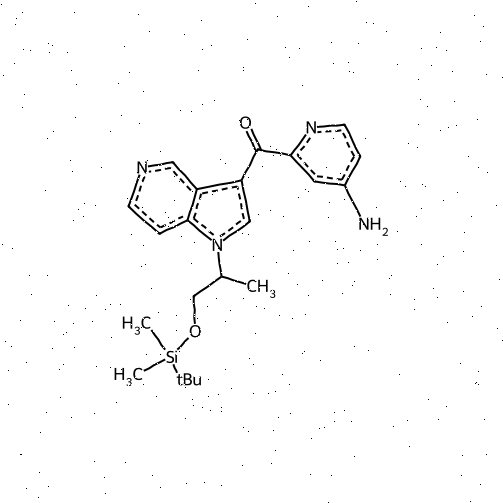 CC(CO[Si](C)(C)C(C)(C)C)n1cc(C(=O)c2cc(N)ccn2)c2cnccc21